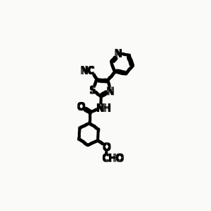 N#Cc1sc(NC(=O)C2CCCC(OC=O)C2)nc1-c1cccnc1